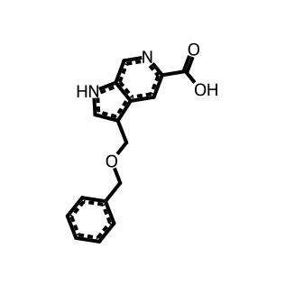 O=C(O)c1cc2c(COCc3ccccc3)c[nH]c2cn1